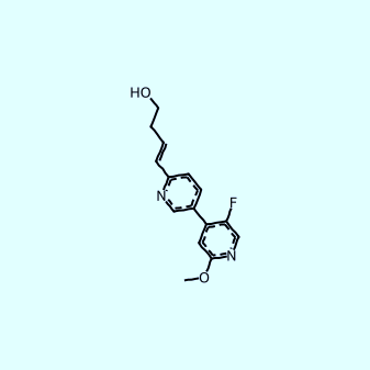 COc1cc(-c2ccc(C=CCCO)nc2)c(F)cn1